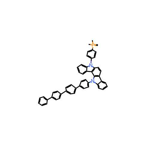 C=P(C)(C)c1ccc(-n2c3ccccc3c3c2ccc2c4ccccc4n(-c4ccc(-c5ccc(-c6ccc(-c7ccccc7)cc6)cc5)cc4)c23)cc1